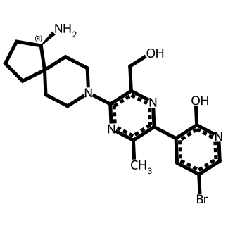 Cc1nc(N2CCC3(CCC[C@H]3N)CC2)c(CO)nc1-c1cc(Br)cnc1O